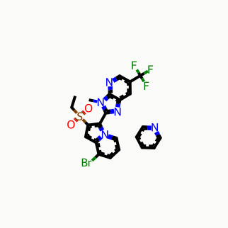 CCS(=O)(=O)c1cc2c(Br)cccn2c1-c1nc2cc(C(F)(F)F)cnc2n1C.c1ccncc1